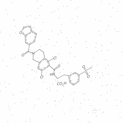 CS(=O)(=O)c1cccc(C[C@@H](NC(=O)c2c(Cl)cc3c(c2Cl)CCN(C(=O)c2ccc4ccoc4c2)C3)C(=O)O)c1